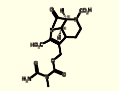 CN(C(N)=O)C(=O)OCC1=C(C(=O)O)N2C(=O)[C@@H]3[C@H]2C1CCN3C(=O)O